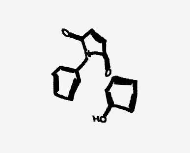 O=C1C=CC(=O)N1c1ccccc1.Oc1ccccc1